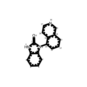 O=c1[nH]c2ccccc2n1-c1cccc2cnccc12